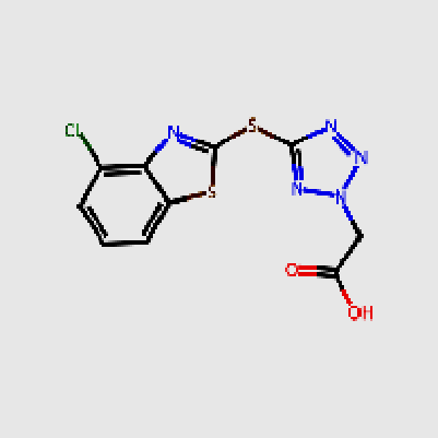 O=C(O)Cn1nnc(Sc2nc3c(Cl)cccc3s2)n1